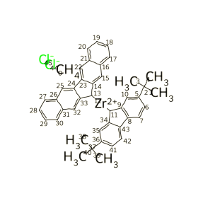 C.CC(C)(C)c1ccc2c(c1)[CH]([Zr+2][CH]1c3cc4ccccc4cc3-c3cc4ccccc4cc31)c1cc(C(C)(C)C)ccc1-2.[Cl-].[Cl-]